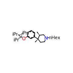 CCCCCCN1CC[C@](C)(c2cccc(O[Si](C(C)C)(C(C)C)C(C)C)c2)[C@@H](C)C1